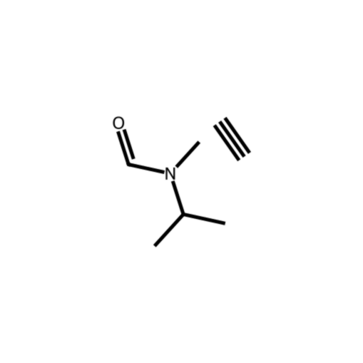 C#C.CC(C)N(C)C=O